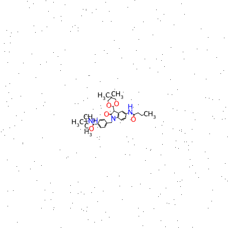 CCCC(=O)Nc1ccc2c(c1)C(C1OCC(C)(C)CO1)C(=O)N2Cc1ccc(C(=O)NC(C)(C)C)cc1